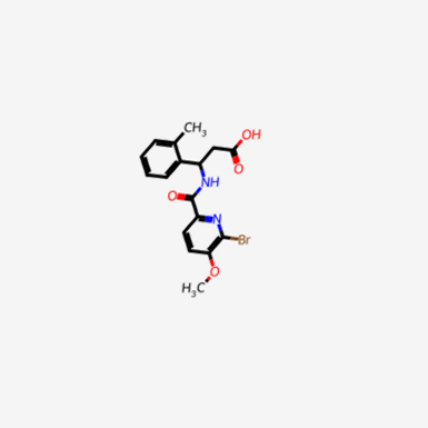 COc1ccc(C(=O)NC(CC(=O)O)c2ccccc2C)nc1Br